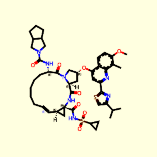 COc1ccc2c(O[C@@H]3C[C@H]4C(=O)N[C@]5(C(=O)NS(=O)(=O)C6CC6)C[C@H]5/C=C/CCCCC[C@H](NC(=O)N5CC6CCCC6C5)C(=O)N4C3)cc(-c3nc(C(C)C)cs3)nc2c1C